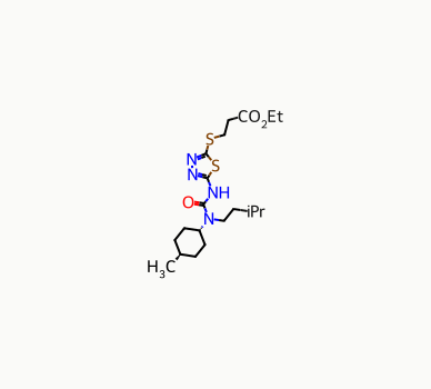 CCOC(=O)CCSc1nnc(NC(=O)N(CCC(C)C)[C@H]2CC[C@H](C)CC2)s1